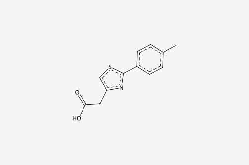 Cc1ccc(-c2nc(CC(=O)O)cs2)cc1